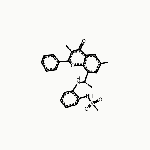 Cc1cc([C@@H](C)Nc2ccccc2NS(C)(=O)=O)c2oc(-c3ccccc3)c(C)c(=O)c2c1